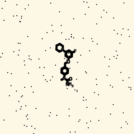 CN(C(N)=O)c1ccc(COc2cc(F)cc(N3CCCCC3)c2)cc1